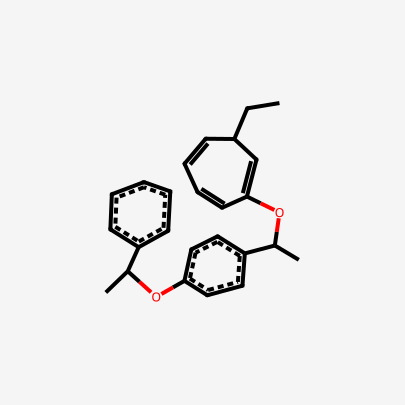 CCC1C=CC=CC(OC(C)c2ccc(OC(C)c3ccccc3)cc2)=C1